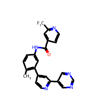 Cc1ccc(NC(=O)c2ccnc(C(F)(F)F)c2)cc1-c1ccnc(-c2cncnc2)c1